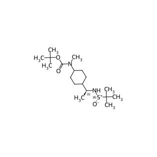 C[C@H](N[S@@+]([O-])C(C)(C)C)C1CCC(N(C)C(=O)OC(C)(C)C)CC1